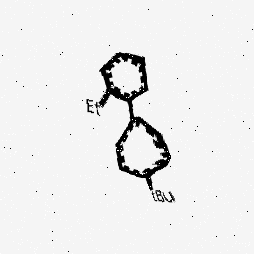 CCc1ccccc1-c1ccc(C(C)(C)C)cc1